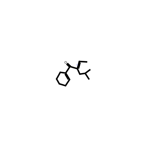 C/C=C(\CC(C)C)C(=O)C1=CCCCC1